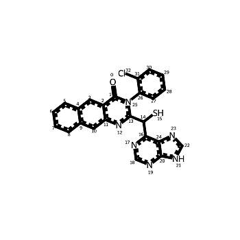 O=c1c2cc3ccccc3cc2nc(C(S)c2ncnc3[nH]cnc23)n1-c1ccccc1Cl